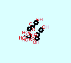 O=c1c(-c2ccc(O)cc2)coc2c(O[C@@H]3O[C@H](CO)[C@@H](O)[C@H](O)[C@H]3O)c(O)ccc12.Oc1ccc([C@H]2COc3cc(O)ccc3C2)cc1